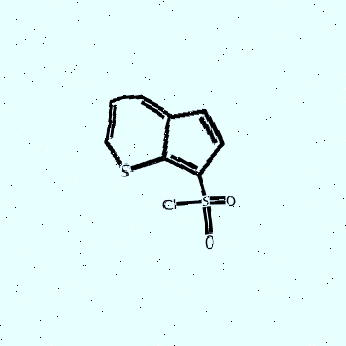 O=S(=O)(Cl)c1ccc2cccsc1-2